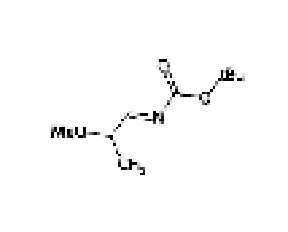 COC(C)/C=N/C(=O)OC(C)(C)C